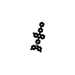 Cc1ccc2c(-c3ccc(-n4c5ccc(C)cc5c5cc(C)ccc54)cc3)c3ccccc3c(-c3ccc(-c4ccccc4)cc3)c2c1